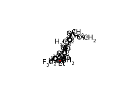 C=CCOCCN(C)C(=O)c1ccc(CCS(=O)(=O)N2CCC(C(N)=O)(N(OC(=C)CC)C(=O)c3ccc(C(F)(F)F)cc3)CC2)c(C)c1